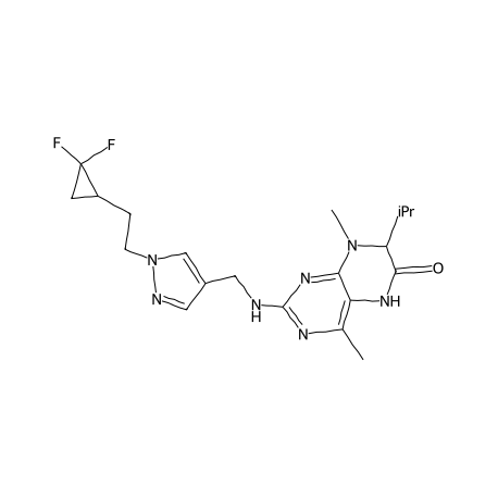 Cc1nc(NCc2cnn(CCC3CC3(F)F)c2)nc2c1NC(=O)C(C(C)C)N2C